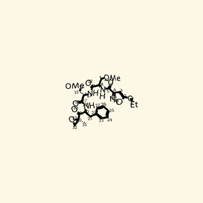 CCOc1cc(C(=O)NC(COC)C(=O)N[C@@H](COC)C(=O)NC(Cc2ccccc2)C(=O)[C@@]2(C)CO2)no1